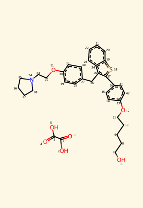 O=C(O)C(=O)O.OCCCCCOc1ccc(-c2sc3ccccc3c2Cc2ccc(OCCN3CCCC3)cc2)cc1